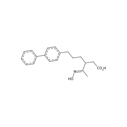 CC(=NO)C(CCCc1ccc(-c2ccccc2)cc1)CC(=O)O